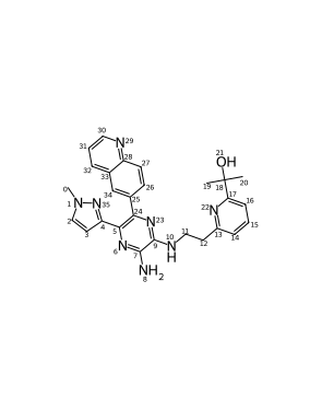 Cn1ccc(-c2nc(N)c(NCCc3cccc(C(C)(C)O)n3)nc2-c2ccc3ncccc3c2)n1